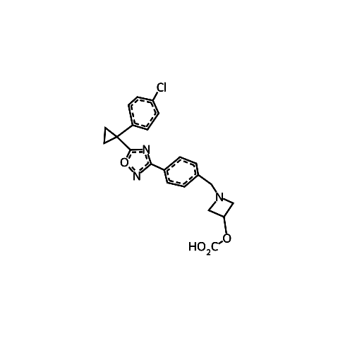 O=C(O)OC1CN(Cc2ccc(-c3noc(C4(c5ccc(Cl)cc5)CC4)n3)cc2)C1